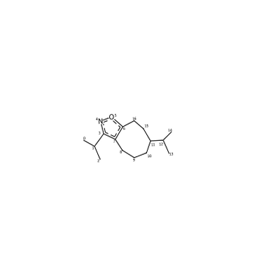 CC(C)c1noc2c1CCCC(C(C)C)CC2